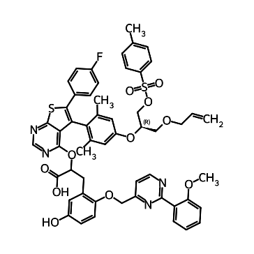 C=CCOC[C@H](COS(=O)(=O)c1ccc(C)cc1)Oc1cc(C)c(-c2c(-c3ccc(F)cc3)sc3ncnc(OC(Cc4cc(O)ccc4OCc4ccnc(-c5ccccc5OC)n4)C(=O)O)c23)c(C)c1